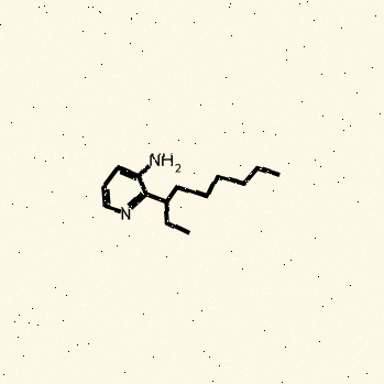 CCCCCCC(CC)c1ncccc1N